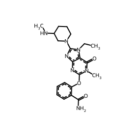 CCn1c(N2CCCC(NC)C2)nc2nc(Oc3ccccc3C(N)=O)n(C)c(=O)c21